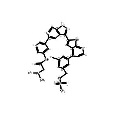 CN(C)CC(=O)Nc1cncc(-c2cc3c(-c4cc5c(-c6cc(F)cc(CNS(C)(=O)=O)c6)ccnc5[nH]4)n[nH]c3cn2)c1